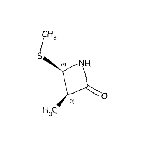 CS[C@H]1NC(=O)[C@H]1C